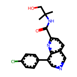 CC(C)(CO)NC(=O)c1ccc2cncc(-c3ccc(Cl)cc3)c2n1